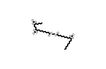 CCCCCCCCC1OC(=O)OC1CCCCCCCC(=O)OCCOC(=O)CCCCCCCC1OC(=O)OC1CCC1OC(=O)OC1CCCC